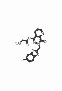 CC(C)(C)CC(=O)Oc1nn(Cc2nc3cc(F)ccc3s2)c(=O)c2ncccc12